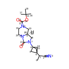 CC(C#N)C12CC(N3C[C@@H]4CN(C(=O)OC(C)(C)C)CCN4C3=O)(C1)C2